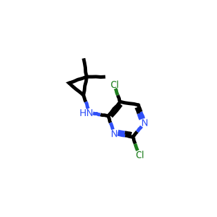 CC1(C)CC1Nc1nc(Cl)ncc1Cl